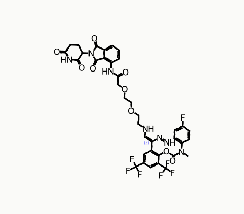 CN(C(=O)Oc1c(/C(=C/NCCOCCOCC(=O)Nc2cccc3c2C(=O)N(C2CCC(=O)NC2=O)C3=O)N=N)cc(C(F)(F)F)cc1C(F)(F)F)c1ccc(F)cc1